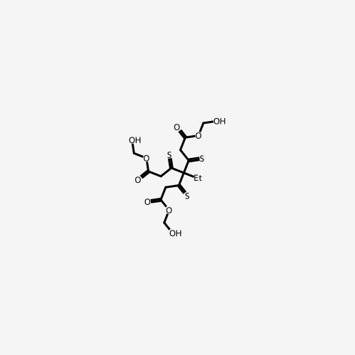 CCC(C(=S)CC(=O)OCO)(C(=S)CC(=O)OCO)C(=S)CC(=O)OCO